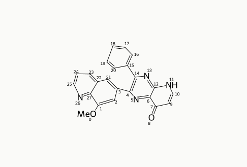 COc1cc(-c2nc3c(=O)cc[nH]c3nc2-c2ccccc2)cc2cccnc12